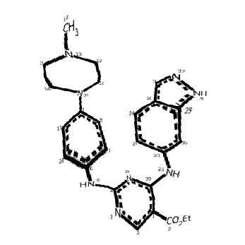 CCOC(=O)c1cnc(Nc2ccc(N3CCN(C)CC3)cc2)nc1Nc1ccc2cn[nH]c2c1